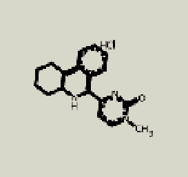 Cl.Cn1ccc(C2=c3ccccc3=C3CCCCC3N2)nc1=O